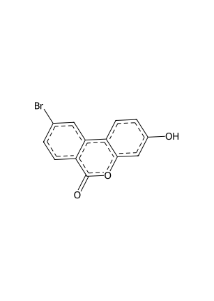 O=c1oc2cc(O)ccc2c2cc(Br)ccc12